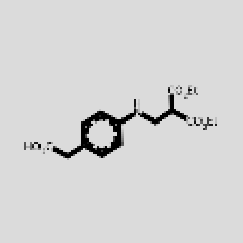 CCOC(=O)C(CNc1ccc(CC(=O)O)cc1)C(=O)OCC